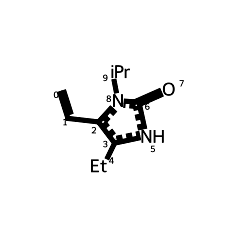 C=Cc1c(CC)[nH]c(=O)n1C(C)C